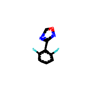 Fc1cccc(F)c1-c1ncon1